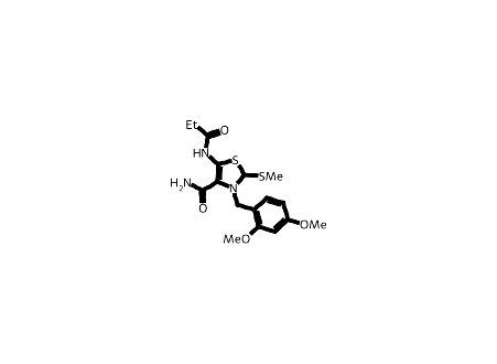 CCC(=O)NC1=C(C(N)=O)N(Cc2ccc(OC)cc2OC)C(SC)S1